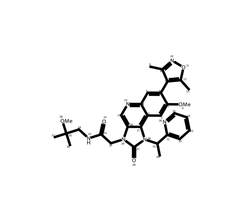 COc1cc2c(cc1-c1c(C)noc1C)ncc1c2n(C(C)c2ccccn2)c(=O)n1CC(=O)NCC(C)(C)OC